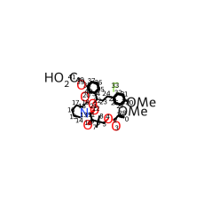 C=CC(=O)OCC(C)(C)C(=O)C(=O)N1CCCC[C@H]1C(=O)O[C@H](CCc1cc(OC)c(OC)cc1F)c1cccc(OCC(=O)O)c1